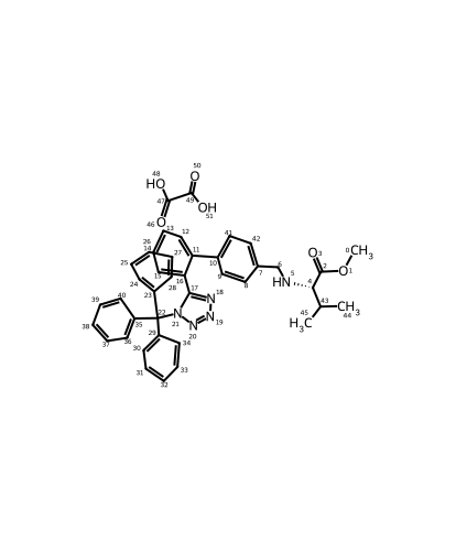 COC(=O)[C@@H](NCc1ccc(-c2ccccc2-c2nnnn2C(c2ccccc2)(c2ccccc2)c2ccccc2)cc1)C(C)C.O=C(O)C(=O)O